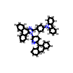 c1ccc2c(-c3ccc(-n4c(-c5ccc(-n6c7ccccc7c7ccccc76)cc5)nc5c6ccccc6c6ccccc6c54)cn3)c3ccccc3cc2c1